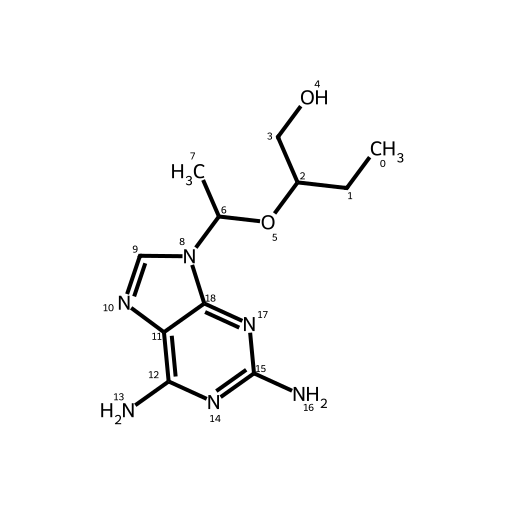 CCC(CO)OC(C)n1cnc2c(N)nc(N)nc21